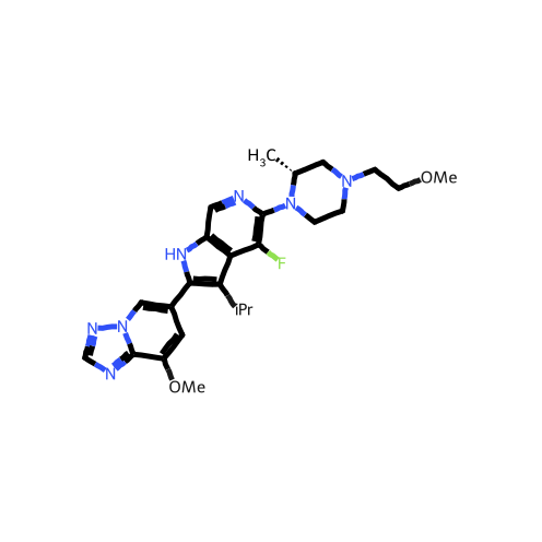 COCCN1CCN(c2ncc3[nH]c(-c4cc(OC)c5ncnn5c4)c(C(C)C)c3c2F)[C@H](C)C1